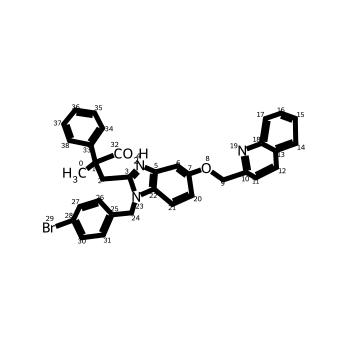 CC(Cc1nc2cc(OCc3ccc4ccccc4n3)ccc2n1Cc1ccc(Br)cc1)(C(=O)O)c1ccccc1